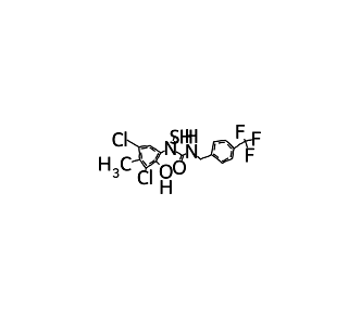 Cc1c(Cl)cc(N(S)C(=O)NCc2ccc(C(F)(F)F)cc2)c(O)c1Cl